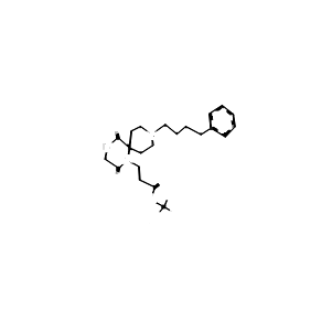 CC(C)(C)OC(=O)CCN1C(=O)CNC(=O)C12CCN(CCCCc1ccccc1)CC2